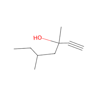 C#CC(C)(O)CC(C)CC